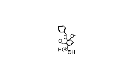 COc1ccc(B(O)O)c(C=O)c1OCc1ccccc1